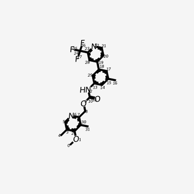 COc1c(C)cnc(COC(=O)Nc2cc(C)cc(-c3ccnc(C(F)(F)F)c3)c2)c1C